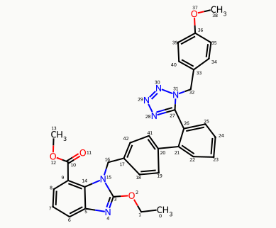 CCOc1nc2cccc(C(=O)OC)c2n1Cc1ccc(-c2ccccc2-c2nnnn2Cc2ccc(OC)cc2)cc1